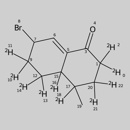 [2H]C1([2H])C(=O)C2=CC(Br)C([2H])([2H])C([2H])([2H])C2([2H])C([2H])(C)C1([2H])[2H]